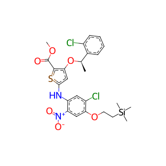 COC(=O)c1sc(Nc2cc(Cl)c(OCC[Si](C)(C)C)cc2[N+](=O)[O-])cc1O[C@H](C)c1ccccc1Cl